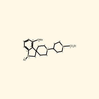 CCOC(=O)N1CCC(N2CCC3(CC2)CN(C(C)=O)c2cccc(OC)c23)CC1